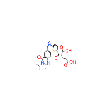 Cc1nc2ccc(CN(C)c3ccc(C(=O)C(CCC(=O)O)C(=O)O)s3)cc2c(=O)n1C(C)C